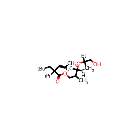 CC=CC(CC(C)(C)C)(C(=O)OCC(C)C(C)(C)OC(C)(CC)CO)C(C)C